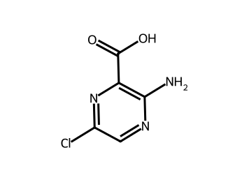 Nc1ncc(Cl)nc1C(=O)O